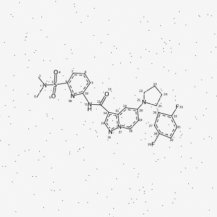 CN(C)S(=O)(=O)c1cccc(NC(=O)c2cnn3ccc(N4CCC[C@@H]4c4cc(F)ccc4F)cc23)n1